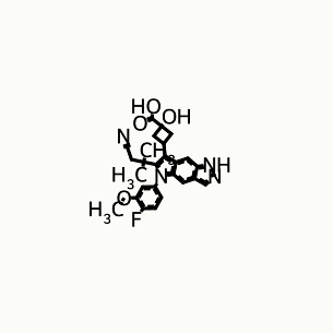 COc1cc(-n2c(C(C)(C)CC#N)c(C3CC(O)(C(=O)O)C3)c3cc4[nH]ncc4cc32)ccc1F